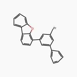 CC(C)c1cc(-c2ccccc2)cc(-c2cccc3c2oc2ccccc23)c1